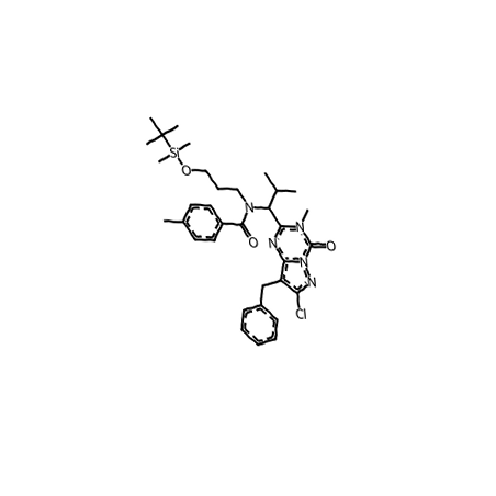 Cc1ccc(C(=O)N(CCCO[Si](C)(C)C(C)(C)C)C(c2nc3c(Cc4ccccc4)c(Cl)nn3c(=O)n2C)C(C)C)cc1